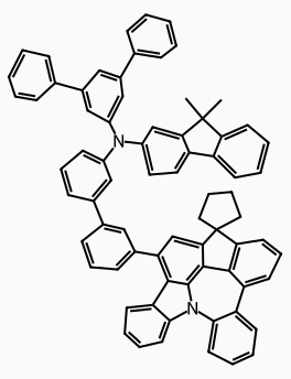 CC1(C)c2ccccc2-c2ccc(N(c3cccc(-c4cccc(-c5cc6c7c8c5c5ccccc5n8-c5ccccc5-c5cccc(c5-7)C65CCCC5)c4)c3)c3cc(-c4ccccc4)cc(-c4ccccc4)c3)cc21